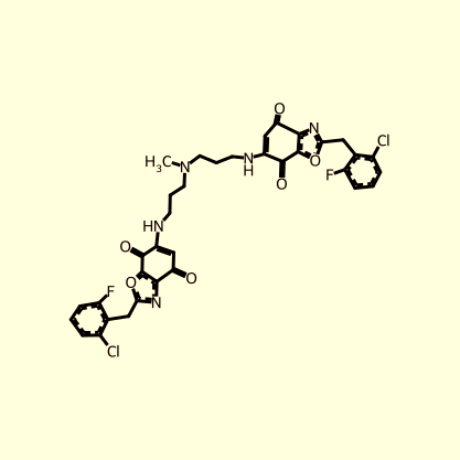 CN(CCCNC1=CC(=O)c2nc(Cc3c(F)cccc3Cl)oc2C1=O)CCCNC1=CC(=O)c2nc(Cc3c(F)cccc3Cl)oc2C1=O